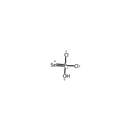 OP(Cl)(Cl)=[Se]